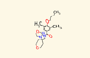 CCCCOc1c(C)cc(C(=O)NCC2(N3CCOCC3)CCOCC2)cc1C